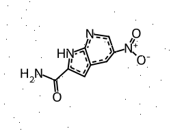 NC(=O)c1cc2cc([N+](=O)[O-])cnc2[nH]1